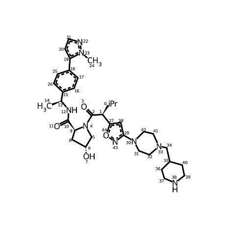 CC(C)[C@H](C(=O)N1C[C@H](O)C[C@H]1C(=O)N[C@@H](C)c1ccc(-c2ccnn2C)cc1)c1cc(N2CCN(CC3CCNCC3)CC2)no1